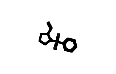 C=CC1CCCN1S(=O)(=O)c1ccccc1